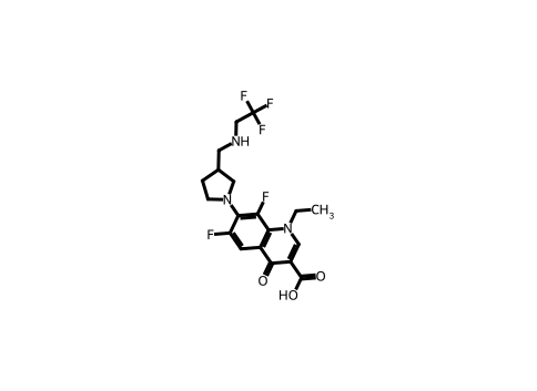 CCn1cc(C(=O)O)c(=O)c2cc(F)c(N3CCC(CNCC(F)(F)F)C3)c(F)c21